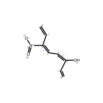 C=C/C(O)=C\C=C(/C=C)[N+](=O)[O-]